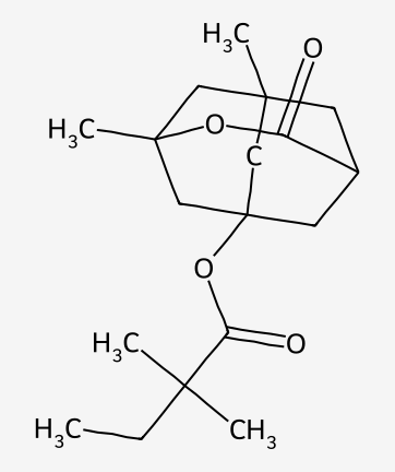 CCC(C)(C)C(=O)OC12CC3CC(C)(CC(C)(C1)OC3=O)C2